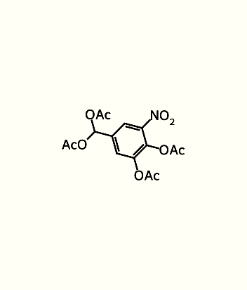 CC(=O)Oc1cc(C(OC(C)=O)OC(C)=O)cc([N+](=O)[O-])c1OC(C)=O